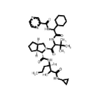 [2H][C@](CCC)(NC(=O)[C@@H]1[C@H]2CCC[C@H]2CN1C(=O)C(NC(=O)C(NC(=O)c1cnccn1)C1CCCCC1)C(C)(C)C)C(O)C(=O)NC1CC1